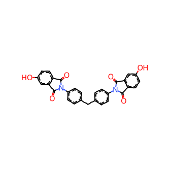 O=C1c2ccc(O)cc2C(=O)N1c1ccc(Cc2ccc(N3C(=O)c4ccc(O)cc4C3=O)cc2)cc1